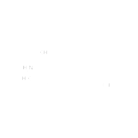 CCCCCC[C@H](CC)CC(C)N